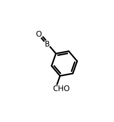 O=Bc1cccc(C=O)c1